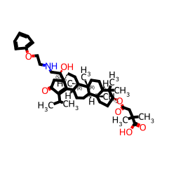 CC(C)C1=C2[C@H]3CC[C@@H]4[C@@]5(C)CC[C@H](OC(=O)CC(C)(C)C(=O)O)C(C)(C)[C@@H]5CC[C@@]4(C)[C@]3(C)CC[C@@]2([C@H](O)CNCCOc2ccccc2)CC1=O